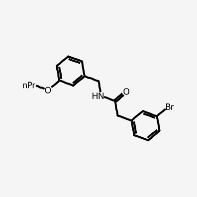 CCCOc1cccc(CNC(=O)Cc2cccc(Br)c2)c1